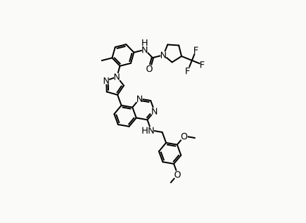 COc1ccc(CNc2ncnc3c(-c4cnn(-c5cc(NC(=O)N6CCC(C(F)(F)F)C6)ccc5C)c4)cccc23)c(OC)c1